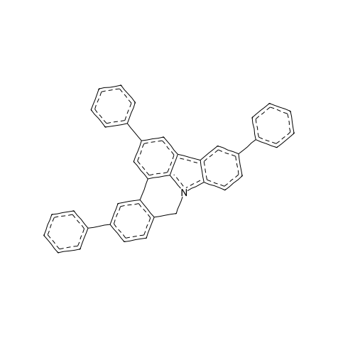 c1ccc(-c2ccc3c(c2)-c2cc(-c4ccccc4)cc4c5cc(-c6ccccc6)ccc5n(c24)C3)cc1